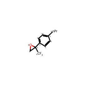 CCCc1ccc(C2(C(F)(F)F)CO2)cc1